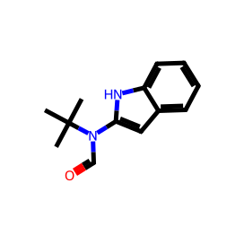 CC(C)(C)N(C=O)c1cc2ccccc2[nH]1